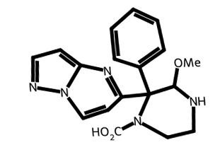 COC1NCCN(C(=O)O)C1(c1ccccc1)c1ccn2nccc2n1